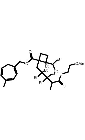 CCC(CC)C1(CC)CCC1(CC(CC)(CC)C(CC)(CC)C(C)C(=O)OCCOC)C(=O)OCC1=CC=C(C)C=CC1